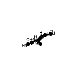 N#Cc1ccc(-c2ccc(C[C@@H](C=O)NC(=O)[C@@H]3Cc4cc5c(cc4CN3C(=O)c3ccccc3)OC(c3ccc(OCc4ccc(Cl)c(Cl)c4)cc3)CN5)cc2)cc1